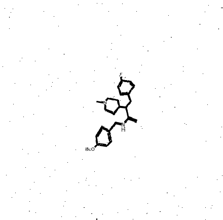 C=C(NCc1ccc(OCC(C)C)cc1)C(Cc1ccc(F)cc1)C1CCN(C)CC1